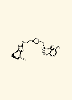 CC(C)c1cccc(C(C)C)c1NC(=O)CN1CCN(CCSc2nc3cccc(C(F)(F)F)c3o2)CC1